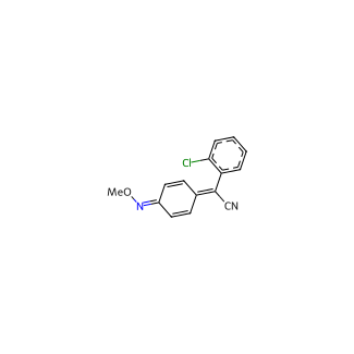 CON=C1C=CC(=C(C#N)c2ccccc2Cl)C=C1